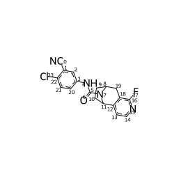 N#Cc1cc(NC(=O)N2C3CCC2c2ccnc(F)c2C3)ccc1Cl